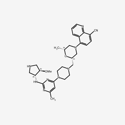 CO[C@@H]1CNC[C@H]1Nc1nc(C)cc(N2CCN(C[C@H]3CN(c4ccc(C#N)c5ncccc45)C[C@@H](C)O3)CC2)n1